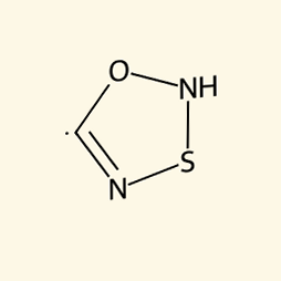 [C]1=NSNO1